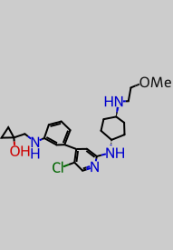 COCCN[C@H]1CC[C@H](Nc2cc(-c3cccc(NCC4(O)CC4)c3)c(Cl)cn2)CC1